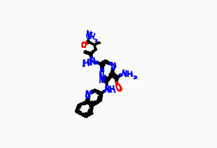 CC(CC(C)C(N)=O)Nc1cnc(C(N)=O)c(Nc2cnc3ccccc3c2)n1